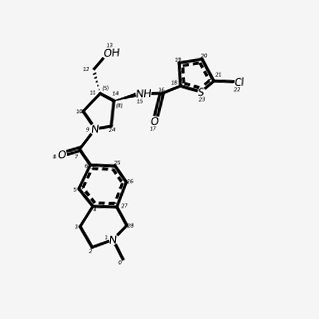 CN1CCc2cc(C(=O)N3C[C@H](CO)[C@@H](NC(=O)c4ccc(Cl)s4)C3)ccc2C1